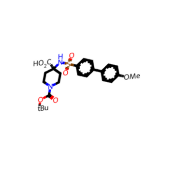 COc1ccc(-c2ccc(S(=O)(=O)NC3(C(=O)O)CCN(C(=O)OC(C)(C)C)CC3)cc2)cc1